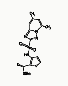 COC(=O)c1sccc1NS(=O)(=O)c1nc2cc(C)cc(C)n2n1